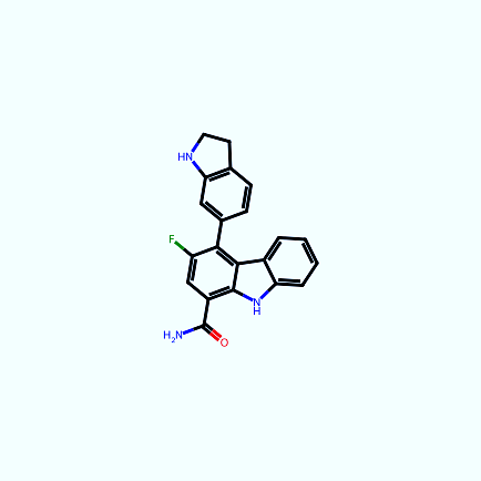 NC(=O)c1cc(F)c(-c2ccc3c(c2)NCC3)c2c1[nH]c1ccccc12